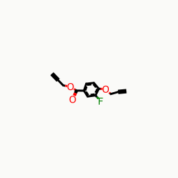 C#CCOC(=O)c1ccc(OCC#C)c(F)c1